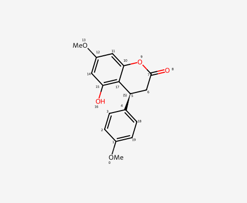 COc1ccc([C@@H]2CC(=O)Oc3cc(OC)cc(O)c32)cc1